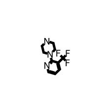 FC(F)(F)c1cccnc1N1CC[N]CC1